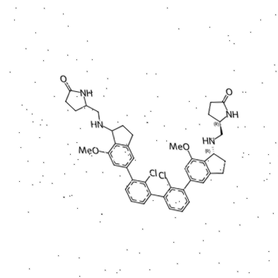 COc1cc(-c2cccc(-c3cccc(-c4cc5c(c(OC)c4)[C@H](NC[C@H]4CCC(=O)N4)CC5)c3Cl)c2Cl)cc2c1C(NCC1CCC(=O)N1)CC2